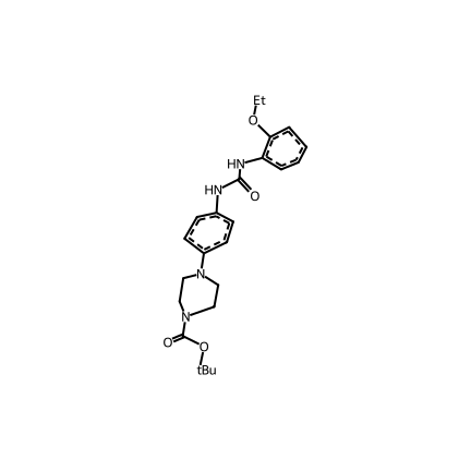 CCOc1ccccc1NC(=O)Nc1ccc(N2CCN(C(=O)OC(C)(C)C)CC2)cc1